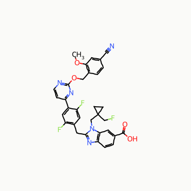 COc1cc(C#N)ccc1COc1nccc(-c2cc(F)c(Cc3nc4ccc(C(=O)O)cc4n3CC3(CF)CC3)cc2F)n1